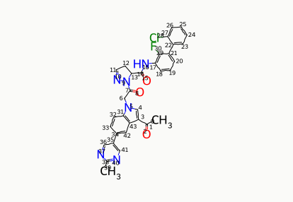 CC(=O)c1cn(CC(=O)N2N=CCC2C(=O)Nc2cccc(-c3ccccc3Cl)c2F)c2ccc(-c3cnc(C)nc3)cc12